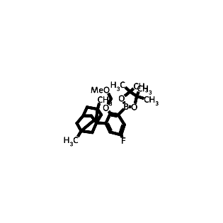 COCOc1c(B2OC(C)(C)C(C)(C)O2)cc(F)cc1C12CC3CC(C)(CC(C)(C3)C1)C2